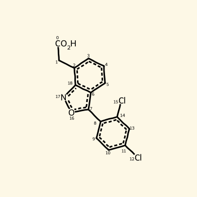 O=C(O)Cc1cccc2c(-c3ccc(Cl)cc3Cl)onc12